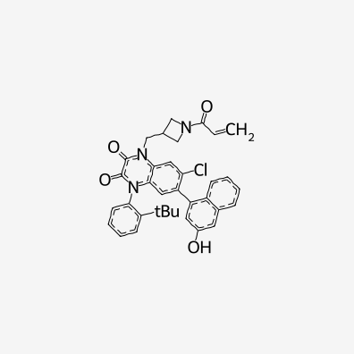 C=CC(=O)N1CC(Cn2c(=O)c(=O)n(-c3ccccc3C(C)(C)C)c3cc(-c4cc(O)cc5ccccc45)c(Cl)cc32)C1